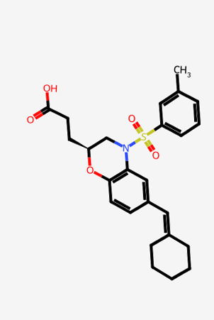 Cc1cccc(S(=O)(=O)N2C[C@H](CCC(=O)O)Oc3ccc(C=C4CCCCC4)cc32)c1